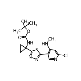 CNc1cc(Cl)ncc1-c1nnc(C2(NC(=O)OC(C)(C)C)CC2)s1